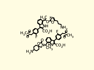 CC(Oc1ncc(CCCN)o1)c1cccc2c(-c3ccc(CS(C)(=O)=O)c(F)c3)c(C(=O)O)[nH]c12.CC(c1cccc2c(-c3ccc(CS(C)(=O)=O)c(F)c3)c(C(=O)O)[nH]c12)N1CC2(CCC(N)CC2)OC1=O